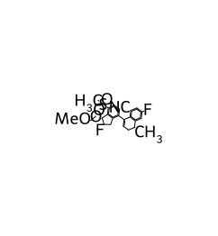 COCO[C@H]1c2c(S(C)(=O)=O)ccc(C3=CC[C@@H](C)c4cc(F)cc(C#N)c43)c2C[C@H]1F